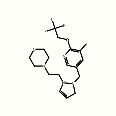 Cc1cc(CN2CC=CN2CCN2CCOCC2)cnc1OCC(F)(F)F